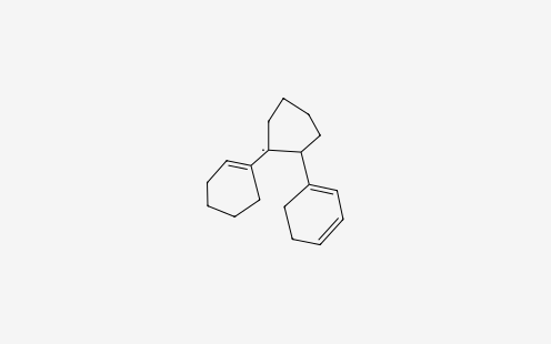 C1=CCCC(C2CCCC[C]2C2=CCCCC2)=C1